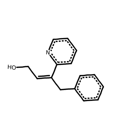 OCC=C(Cc1ccccc1)c1ccccn1